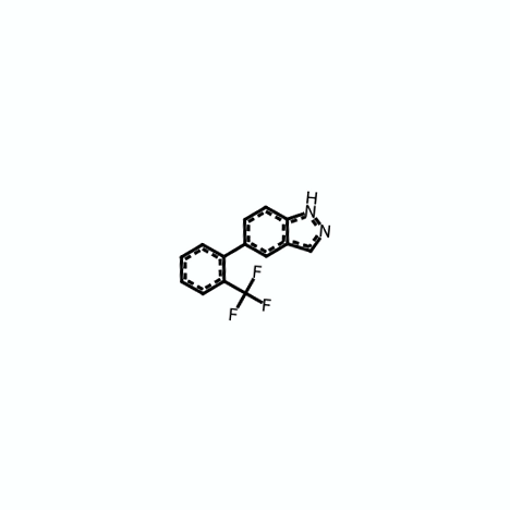 FC(F)(F)c1ccccc1-c1ccc2[nH]ncc2c1